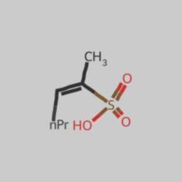 CCCC=C(C)S(=O)(=O)O